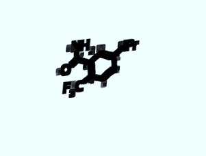 CC(C)c1ccc(C(F)(F)F)c(C(N)=O)c1